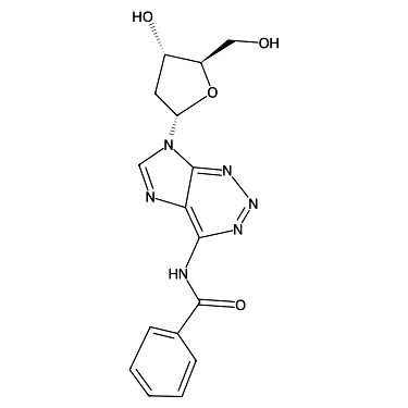 O=C(Nc1nnnc2c1ncn2[C@@H]1C[C@H](O)[C@@H](CO)O1)c1ccccc1